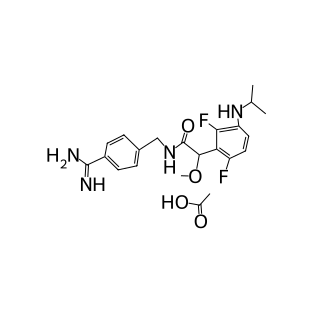 CC(=O)O.COC(C(=O)NCc1ccc(C(=N)N)cc1)c1c(F)ccc(NC(C)C)c1F